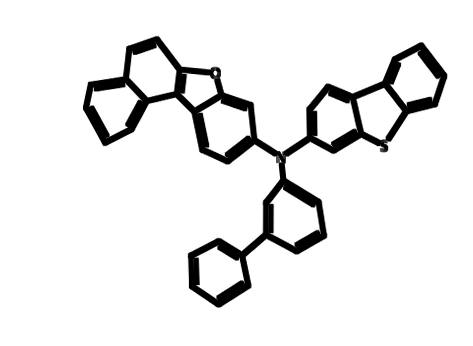 c1ccc(-c2cccc(N(c3ccc4c(c3)oc3ccc5ccccc5c34)c3ccc4c(c3)sc3ccccc34)c2)cc1